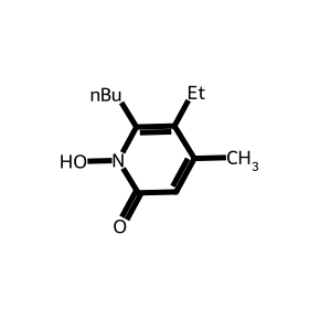 CCCCc1c(CC)c(C)cc(=O)n1O